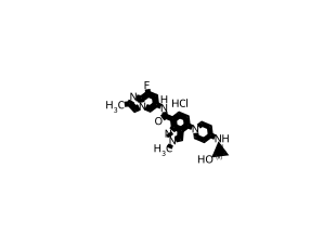 Cc1cn2cc(NC(=O)c3ccc(N4CCC(N[C@@H]5C[C@H]5O)CC4)c4cn(C)nc34)cc(F)c2n1.Cl